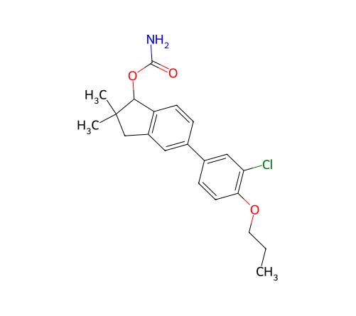 CCCOc1ccc(-c2ccc3c(c2)CC(C)(C)C3OC(N)=O)cc1Cl